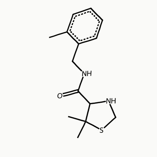 Cc1ccccc1CNC(=O)C1NCSC1(C)C